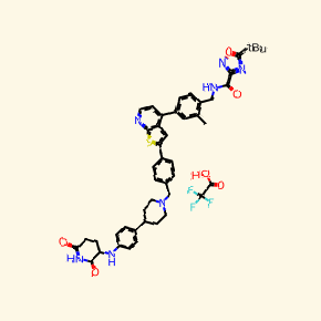 Cc1cc(-c2ccnc3sc(-c4ccc(CN5CCC(c6ccc(NC7CCC(=O)NC7=O)cc6)CC5)cc4)cc23)ccc1CNC(=O)c1noc(C(C)(C)C)n1.O=C(O)C(F)(F)F